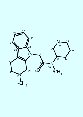 CN1CCc2c(n(CC(=O)N(C)C3CCCNC3)c3ccccc23)C1